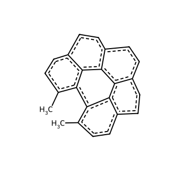 Cc1ccc2ccc3ccc4ccc5ccc(C)c6c1c2c3c4c56